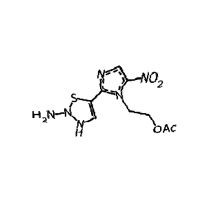 CC(=O)OCCn1c([N+](=O)[O-])cnc1C1=CNN(N)S1